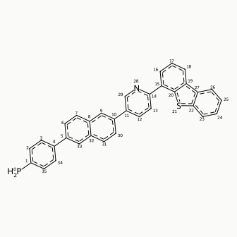 Pc1ccc(-c2ccc3cc(-c4ccc(-c5cccc6c5sc5ccccc56)nc4)ccc3c2)cc1